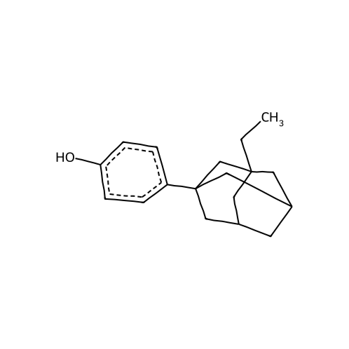 CCC12CC3CC(C1)CC(c1ccc(O)cc1)(C3)C2